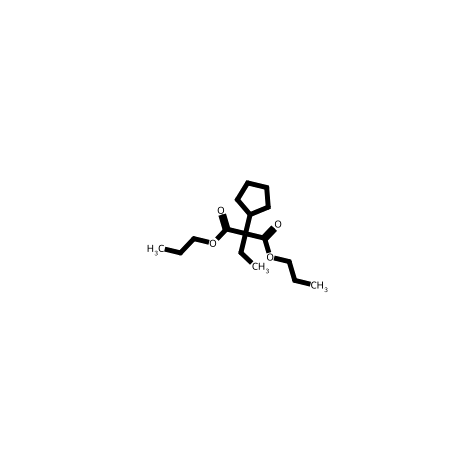 CCCOC(=O)C(CC)(C(=O)OCCC)C1CCCC1